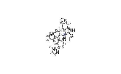 Cn1ccnc1-c1ccc(N/C(=C2\C(=O)Nc3cc(Cl)ccc32)c2ccc3ncccc3c2)cc1